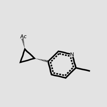 CC(=O)[C@H]1C[C@H]1c1ccc(C)nc1